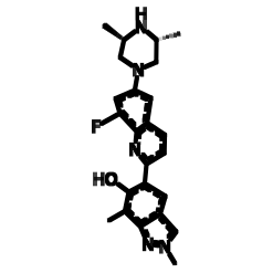 Cc1c(O)c(-c2ccc3cc(N4C[C@@H](C)N[C@H](C)C4)cc(F)c3n2)cc2cn(C)nc12